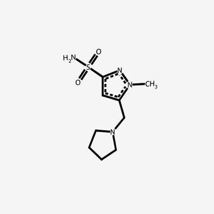 Cn1nc(S(N)(=O)=O)cc1CN1CCCC1